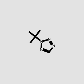 CC(C)(C)n1n[c]nn1